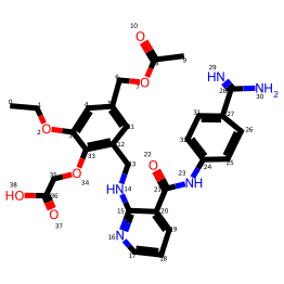 CCOc1cc(COC(C)=O)cc(CNc2ncccc2C(=O)Nc2ccc(C(=N)N)cc2)c1OCC(=O)O